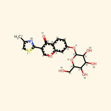 Cc1csc(-c2coc3cc(OC4OC(CO)C(O)C(O)C4O)ccc3c2=O)n1